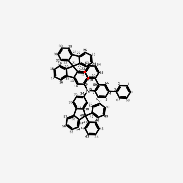 c1ccc(-c2ccc(N(c3ccc4c(c3)-c3ccccc3C43c4ccccc4-c4ccccc43)c3ccc4c(c3)C(c3ccccc3)(c3ccccc3)c3ccccc3-4)c(-c3ccccc3)c2)cc1